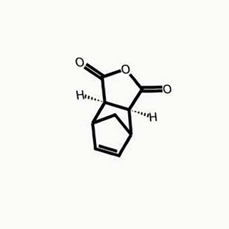 O=C1OC(=O)[C@H]2C3C=CC(C3)[C@@H]12